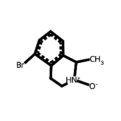 CC1c2cccc(Br)c2CC[NH+]1[O-]